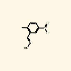 Cc1ccc([N+](=O)[O-])cc1C=NO